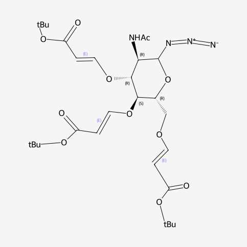 CC(=O)N[C@H]1C(N=[N+]=[N-])O[C@H](CO/C=C/C(=O)OC(C)(C)C)[C@@H](O/C=C/C(=O)OC(C)(C)C)[C@@H]1O/C=C/C(=O)OC(C)(C)C